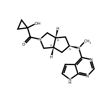 CN(c1ncnc2[nH]ccc12)[C@H]1C[C@@H]2CN(C(=O)C3(O)CC3)C[C@@H]2C1